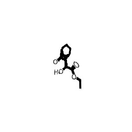 CCOC(=O)/C(O)=C1/C(=O)C2CCC1CC2